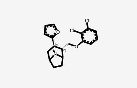 CN1C2CCC1[C@@H](COc1cccc(Cl)c1Cl)[C@H](c1ccco1)C2